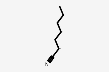 [CH2]CC[CH]C[CH]C#N